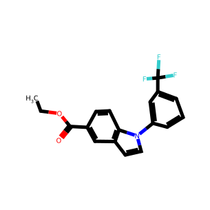 CCOC(=O)c1ccc2c(ccn2-c2cccc(C(F)(F)F)c2)c1